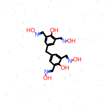 ON=Cc1cc(Cc2cc(C=NO)c(O)c(C=NO)c2)cc(C=NO)c1O